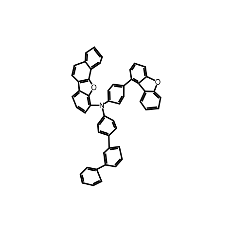 c1ccc(-c2cccc(-c3ccc(N(c4ccc(-c5cccc6oc7ccccc7c56)cc4)c4cccc5c4oc4c6ccccc6ccc54)cc3)c2)cc1